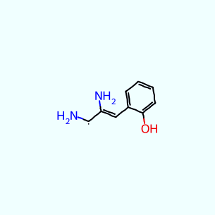 N[CH]C(N)=Cc1ccccc1O